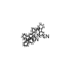 N#Cc1ccc2c(c1)c1ccccc1n2-c1cccc(-c2cc(-c3ccccc3-n3c4ccccc4c4ccccc43)cc(C#N)c2C#N)c1